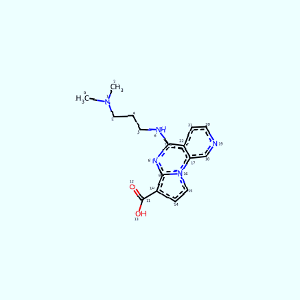 CN(C)CCCNc1nc2c(C(=O)O)ccn2c2cnccc12